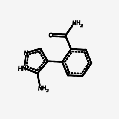 NC(=O)c1ccccc1-c1cn[nH]c1N